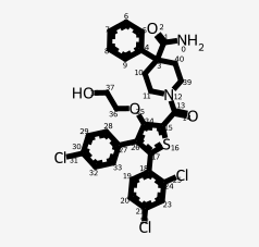 NC(=O)C1(c2ccccc2)CCN(C(=O)c2sc(-c3ccc(Cl)cc3Cl)c(-c3ccc(Cl)cc3)c2OCCO)CC1